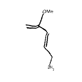 BC/C=C/C(=C)OC